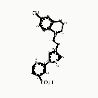 O=C(O)c1ccnc(-c2cn(CCN3CCCc4cc(Cl)ccc43)cn2)c1